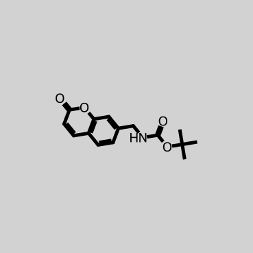 CC(C)(C)OC(=O)NCc1ccc2ccc(=O)oc2c1